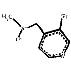 CC(C)c1cnccc1C[S+](C)[O-]